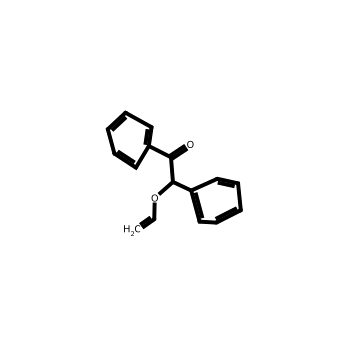 C=COC(C(=O)c1ccccc1)c1ccccc1